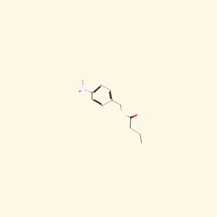 [CH2]CCC(=O)OCc1ccc([N+](=O)[O-])cc1